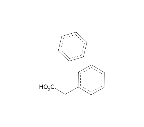 O=C(O)Cc1ccccc1.c1ccccc1